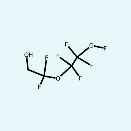 OCC(F)(F)OC(F)(F)C(F)(F)OF